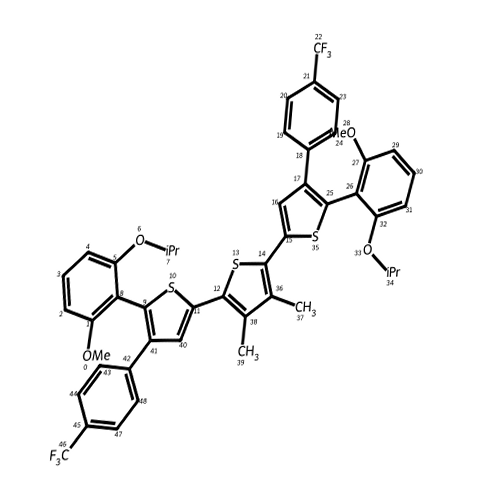 COc1cccc(OC(C)C)c1-c1sc(-c2sc(-c3cc(-c4ccc(C(F)(F)F)cc4)c(-c4c(OC)cccc4OC(C)C)s3)c(C)c2C)cc1-c1ccc(C(F)(F)F)cc1